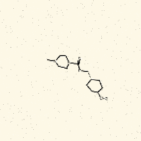 CN1CCN(C(=O)OC[C@H]2CC[C@H](C=O)CC2)CC1